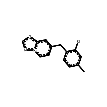 Cc1ccc(Cc2ccn3ncnc3c2)c(Cl)c1